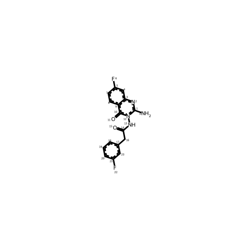 Nc1nc2cc(F)ccc2c(=O)n1NC(=O)Cc1cccc(F)c1